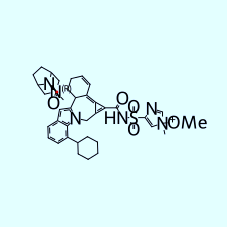 CO[N+]1(C)C=NC(S(=O)(=O)NC(=O)C2=C3Cn4c(cc5cccc(C6CCCCC6)c54)C4C(=C32)C=CC[C@H]4C(=O)N2C3CCC2CN(C)C3)=C1